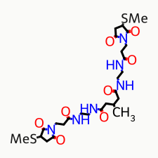 CSC1CC(=O)N(CCC(=O)NCCNC(=O)CC(C)CC(=O)NCCNC(=O)CCN2C(=O)CC(SC)C2=O)C1=O